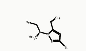 CC(C)CN(C(=O)O)n1nc(Br)cc1CO